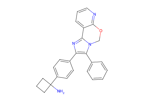 NC1(c2ccc(-c3nc4n(c3-c3ccccc3)COc3ncccc3-4)cc2)CCC1